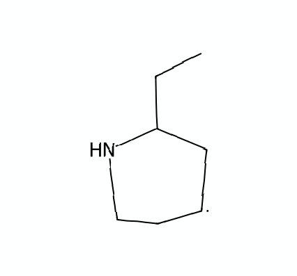 CCC1C[CH]CCN1